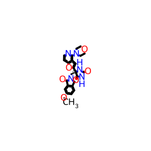 COc1ccc2c(c1)C(=O)N(C[C@@]1(c3cc4c(N5CCOCC5)nccc4o3)NC(=O)NC1=O)C2